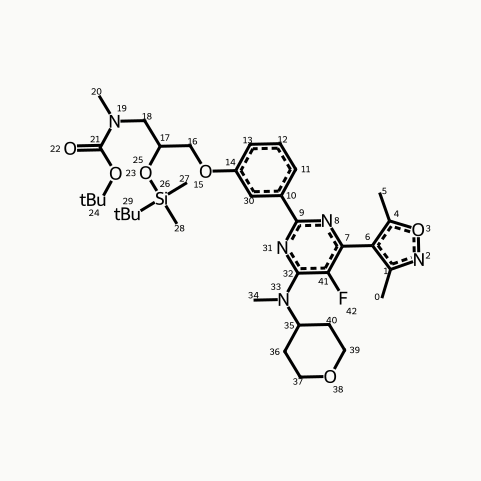 Cc1noc(C)c1-c1nc(-c2cccc(OCC(CN(C)C(=O)OC(C)(C)C)O[Si](C)(C)C(C)(C)C)c2)nc(N(C)C2CCOCC2)c1F